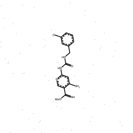 COC(=N)c1cnc(NC(=O)NCc2cccc(Cl)c2)cc1N